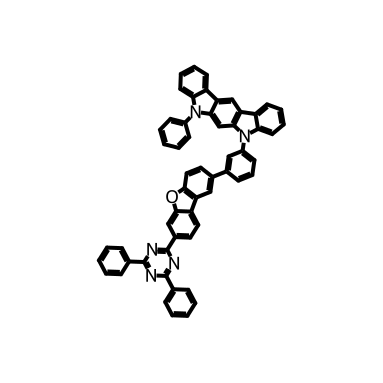 c1ccc(-c2nc(-c3ccccc3)nc(-c3ccc4c(c3)oc3ccc(-c5cccc(-n6c7ccccc7c7cc8c9ccccc9n(-c9ccccc9)c8cc76)c5)cc34)n2)cc1